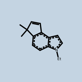 CCn1ccc2c3c(ccc21)C(C)(C)C=C3